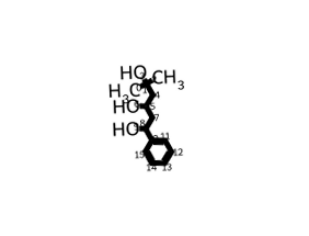 CC(C)(O)CC(O)CC(O)c1ccccc1